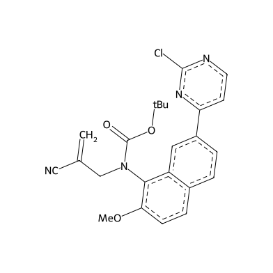 C=C(C#N)CN(C(=O)OC(C)(C)C)c1c(OC)ccc2ccc(-c3ccnc(Cl)n3)cc12